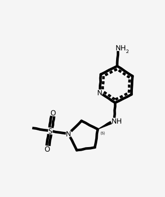 CS(=O)(=O)N1CC[C@H](Nc2ccc(N)cn2)C1